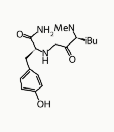 CCC(C)[C@H](NC)C(=O)CN[C@@H](Cc1ccc(O)cc1)C(N)=O